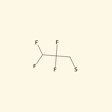 FC(F)C(F)(F)C[S]